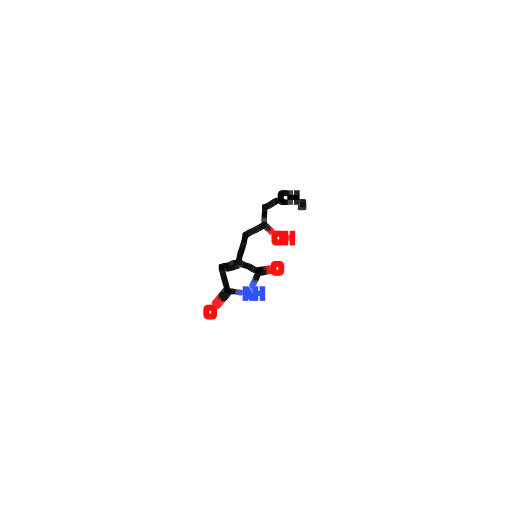 CCC(O)CC1=CC(=O)NC1=O